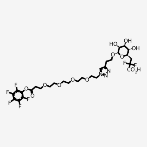 O=C(CCOCCOCCOCCOCCn1cc(CCO[C@H]2O[C@H](CC(F)(F)C(=O)O)[C@@H](O)[C@H](O)[C@@H]2O)nn1)Oc1c(F)c(F)c(F)c(F)c1F